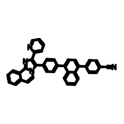 N#Cc1ccc(-c2ccc(-c3ccc(-c4c(-c5ccccn5)nc5c6ccccc6ccn45)cc3)c3ccccc23)cc1